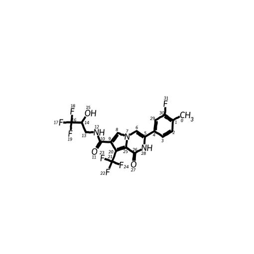 Cc1ccc(-c2cn3cc(C(=O)NCC(O)C(F)(F)F)c(C(F)(F)F)c3c(=O)[nH]2)cc1F